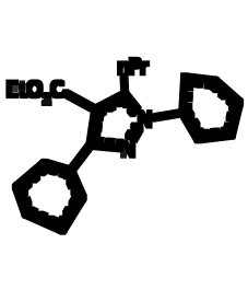 CCCc1c(C(=O)OCC)c(-c2ccccc2)nn1-c1ccccc1